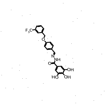 O=C(N/N=C/c1ccc(OCc2cccc(C(F)(F)F)c2)cc1)c1cc(O)c(O)c(O)c1